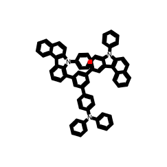 c1ccc(N(c2ccccc2)c2ccc(-c3cc(-c4ccc5c(c4)c4c6ccccc6ccc4n5-c4ccccc4)cc(-c4cccc5c6c7ccccc7ccc6n(-c6ccccc6)c45)c3)cc2)cc1